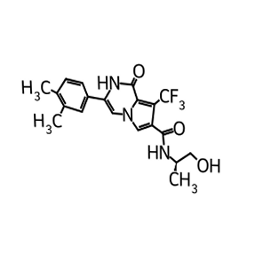 Cc1ccc(-c2cn3cc(C(=O)N[C@H](C)CO)c(C(F)(F)F)c3c(=O)[nH]2)cc1C